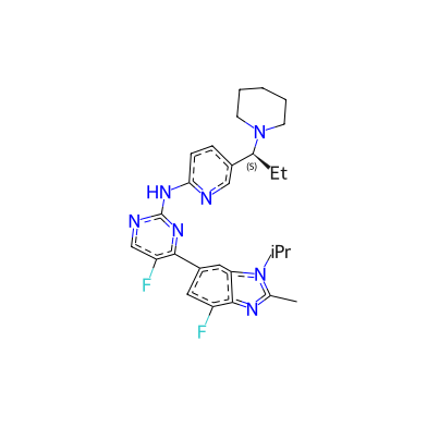 CC[C@@H](c1ccc(Nc2ncc(F)c(-c3cc(F)c4nc(C)n(C(C)C)c4c3)n2)nc1)N1CCCCC1